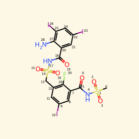 CS(=O)(=O)NC(=O)c1cc(I)cc(CS(=O)(=O)NC(=O)c2cc(I)cc(I)c2N)c1F